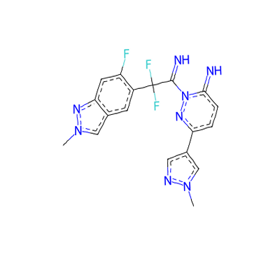 Cn1cc(-c2ccc(=N)n(C(=N)C(F)(F)c3cc4cn(C)nc4cc3F)n2)cn1